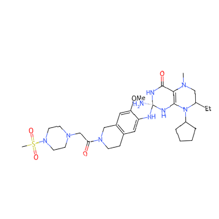 CCC1CN(C)C2=C(N[C@@](N)(Nc3cc4c(cc3OC)CN(C(=O)CN3CCN(S(C)(=O)=O)CC3)CC4)NC2=O)N1C1CCCC1